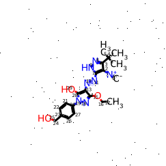 [C-]#[N+]c1c(C(C)(C)C)n[nH]c1/N=N/c1c(OCC)nn(-c2ccc(CO)cc2)c1O